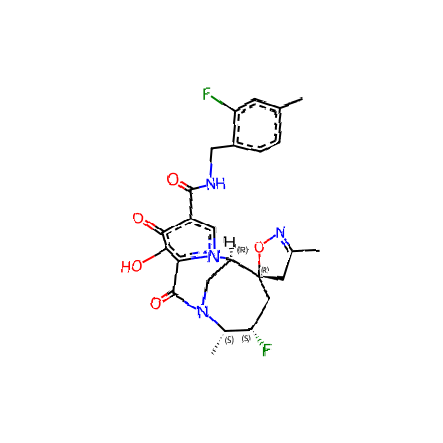 CC1=NO[C@]2(C1)C[C@H](F)[C@H](C)N1C[C@H]2n2cc(C(=O)NCc3ccc(C)cc3F)c(=O)c(O)c2C1=O